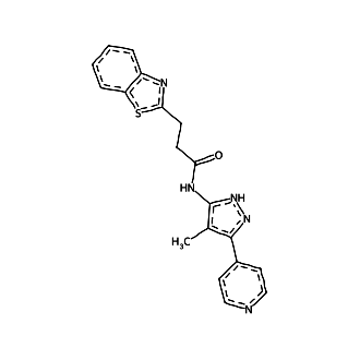 Cc1c(-c2ccncc2)n[nH]c1NC(=O)CCc1nc2ccccc2s1